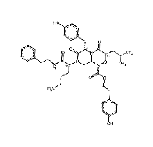 CCCC[C@@H](C(=O)NCCc1ccccc1)N1CC2N(C(=O)OCCc3ccc(O)cc3)O[C@H](CC(C)C)C(=O)N2[C@@H](Cc2ccc(O)cc2)C1=O